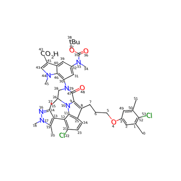 Cc1cc(OCCCc2c3n(c4c(-c5c(C)nn(C)c5C)c(Cl)ccc24)C(C)CN(c2cc(N(C)C(=O)OC(C)(C)C)cc4c(C(=O)O)cn(C)c24)C3=O)cc(C)c1Cl